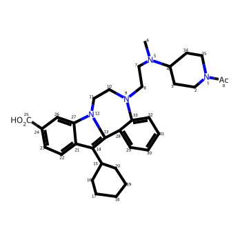 CC(=O)N1CCC(N(C)CCN2CCn3c(c(C4CCCCC4)c4ccc(C(=O)O)cc43)-c3ccccc32)CC1